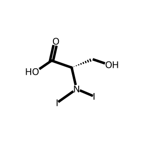 O=C(O)[C@H](CO)N(I)I